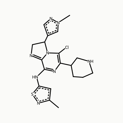 Cc1cc(NC2=NC(C3CCCNC3)=C(Cl)N3C2=NCC3c2cnn(C)c2)sn1